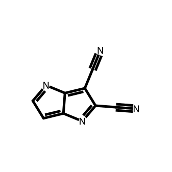 N#CC1=NC2=CC=NC2=C1C#N